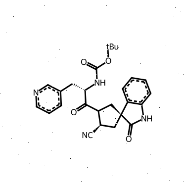 CC(C)(C)OC(=O)N[C@@H](Cc1cccnc1)C(=O)C1C[C@]2(C[C@H]1C#N)C(=O)Nc1ccccc12